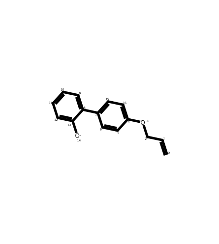 C=CCOc1ccc(-c2ccccc2[O])cc1